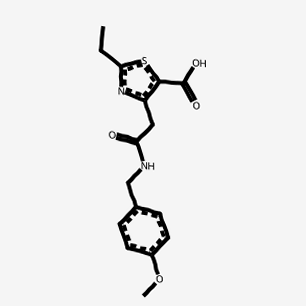 CCc1nc(CC(=O)NCc2ccc(OC)cc2)c(C(=O)O)s1